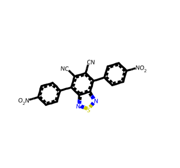 N#Cc1c(C#N)c(-c2ccc([N+](=O)[O-])cc2)c2nsnc2c1-c1ccc([N+](=O)[O-])cc1